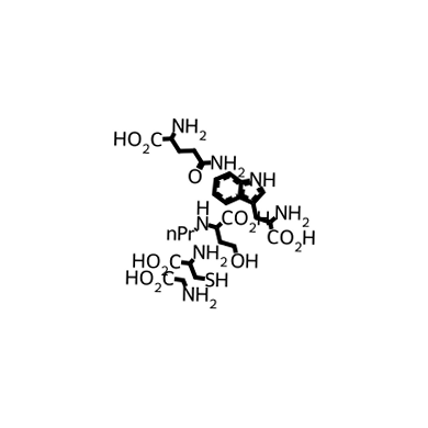 CCCNC(CCO)C(=O)O.NC(=O)CCC(N)C(=O)O.NC(CS)C(=O)O.NC(Cc1c[nH]c2ccccc12)C(=O)O.NCC(=O)O